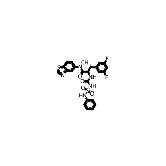 CN(C(=O)C(Cc1cc(F)cc(F)c1)NC(=O)NS(=O)(=O)Nc1ccccc1)c1ccc2scnc2c1